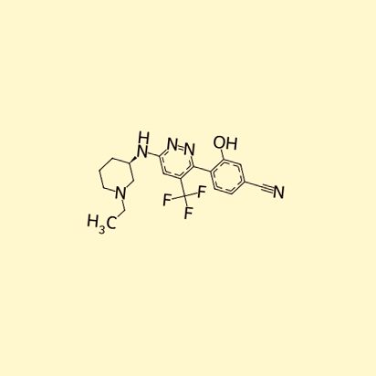 CCN1CCC[C@@H](Nc2cc(C(F)(F)F)c(-c3ccc(C#N)cc3O)nn2)C1